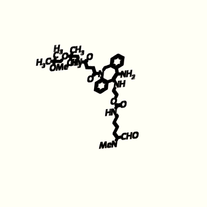 CNC(C=O)CCCCNC(=O)OCCN/C1=C(\N)c2ccccc2CN(C(=O)CCC(=O)NCC(C)(C)OCC(C)(C)OC)c2ccccc21